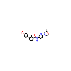 COc1ccc(-c2cccc(C(=O)Nc3ccc(N4CCO[C@H](C)C4)nc3)c2C)cc1